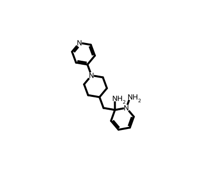 NN1C=CC=CC1(N)CC1CCN(c2ccncc2)CC1